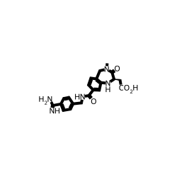 CN1Cc2ccc(C(=O)NCc3ccc(C(=N)N)cc3)cc2N[C@H](CC(=O)O)C1=O